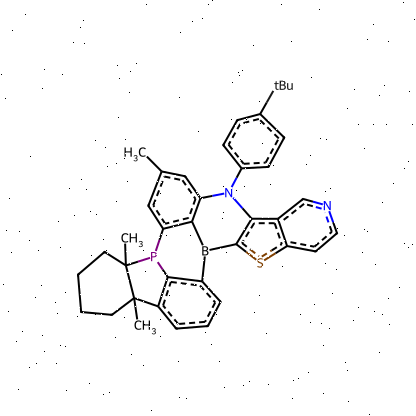 Cc1cc2c3c(c1)P1c4c(cccc4C4(C)CCCCC14C)B3c1sc3ccncc3c1N2c1ccc(C(C)(C)C)cc1